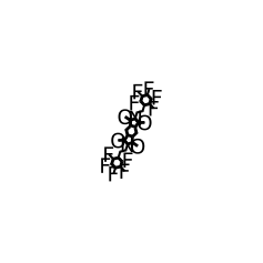 O=c1c2cc3c(=O)n(CCc4c(F)c(F)c(F)c(F)c4F)c(=O)c3cc2c(=O)n1CCc1c(F)c(F)c(F)c(F)c1F